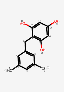 O=Cc1cc(C=O)cc(Cc2c(O)cc(O)cc2O)c1